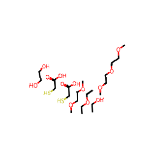 CCO.CCOCC.COCCOC.COCCOCCOC.O=C(O)CS.O=C(O)CS.OCCO